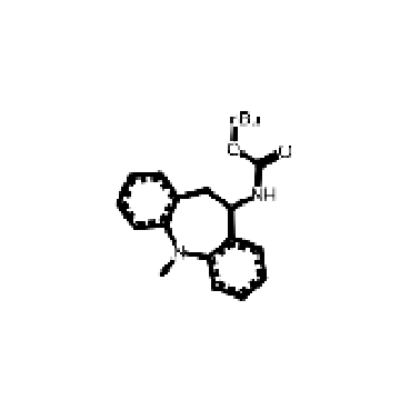 CCCCOC(=O)NC1Cc2ccccc2N(C)c2ccccc21